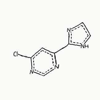 Clc1cc(-c2ncc[nH]2)ncn1